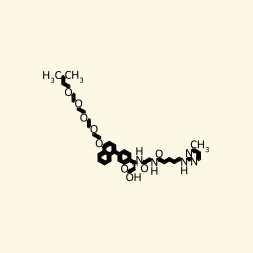 Cc1ccnc(NCCCCC(=O)NCC(=O)N[C@@H](CC(=O)O)c2ccc(-c3ccc(OCCOCCOCCOCCOCCC(C)C)c4ccccc34)cc2)n1